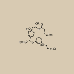 CCCCCCCCCCCCC(=S)SC(C)C(=O)O.CCOC(=O)C(Sc1ccccc1)c1ccccc1.O=CCCO